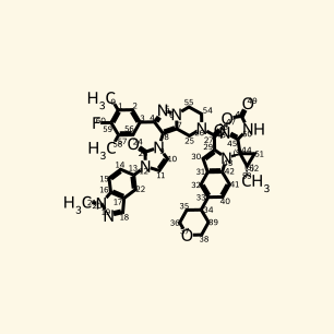 Cc1cc(-c2nn3c(c2-n2ccn(-c4ccc5c(cnn5C)c4)c2=O)CN(C(=O)c2cc4cc(C5CCOCC5)ccc4n2[C@@]2(c4noc(=O)[nH]4)C[C@@H]2C)CC3)cc(C)c1F